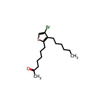 CCCCCCc1c(Br)csc1CCCCCC(C)=O